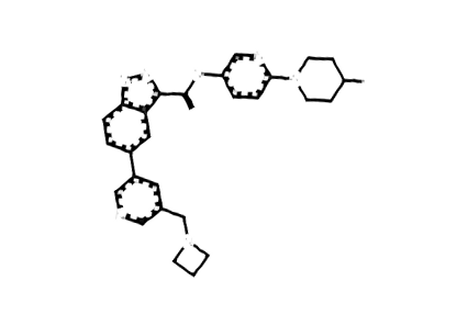 O=C(Nc1ccc(N2CCC(O)CC2)nc1)c1n[nH]c2ccc(-c3cncc(CN4CCC4)c3)cc12